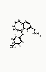 NCc1ccc2c(c1)C(Cc1ccc(Cl)cc1)NCCC2